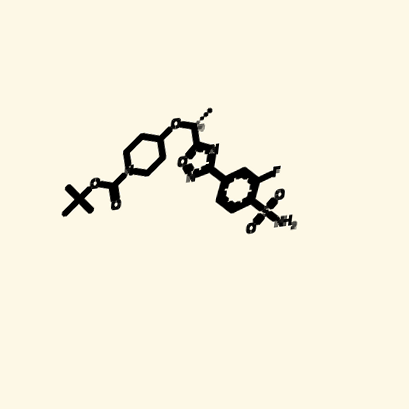 C[C@@H](OC1CCN(C(=O)OC(C)(C)C)CC1)c1nc(-c2ccc(S(N)(=O)=O)c(F)c2)no1